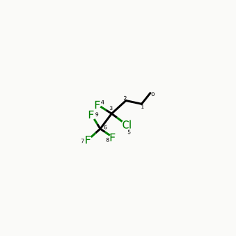 CCCC(F)(Cl)C(F)(F)F